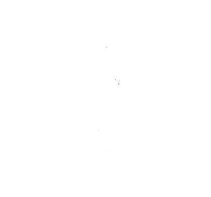 CC(=O)C1CCc2c[c]ccc2N1